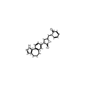 O=C1OC(Cn2ccccc2=O)CN1c1ccc2c(c1)CCCc1cn[nH]c1-2